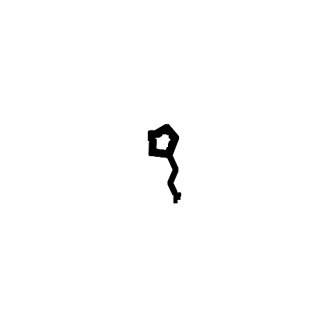 FCCc1ccsc1